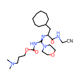 CN(C)CCCOC(=O)N/C(=N/C(CC1CCCCCCC1)C(=O)NCC#N)N1CCOCC1